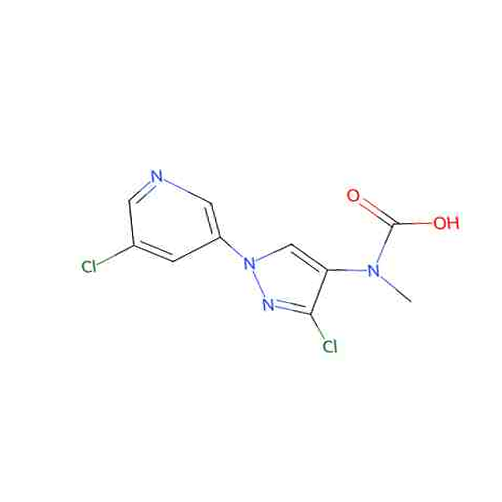 CN(C(=O)O)c1cn(-c2cncc(Cl)c2)nc1Cl